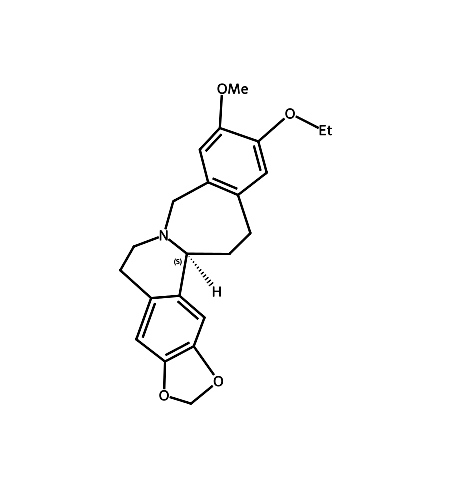 CCOc1cc2c(cc1OC)CN1CCc3cc4c(cc3[C@@H]1CC2)OCO4